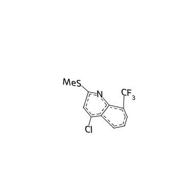 CSc1cc(Cl)c2cccc(C(F)(F)F)c2n1